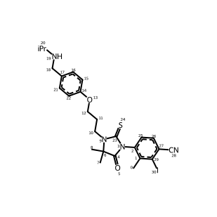 Cc1c(N2C(=O)C(C)(C)N(CCCOc3ccc(CNC(C)C)cc3)C2=S)ccc(C#N)c1I